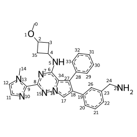 COC1CC(Nc2nc(-c3nccn3C)nn3cc(-c4cccc(CN)c4)c(-c4ccccc4)c23)C1